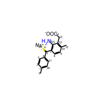 Cc1ccc(C(=S)c2ccc(C)c(CC(=O)[O-])c2N)cc1.[Na+]